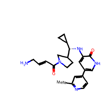 CNc1cc(-c2c[nH]c(=O)c(N[C@@H](C3CC3)C3CCN(C(=O)/C=C/CN)C3)c2)ccn1